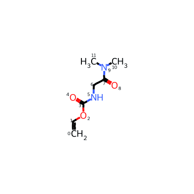 C=COC(=O)NCC(=O)N(C)C